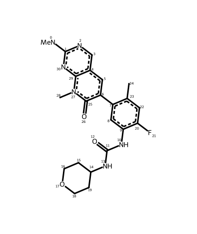 CNc1ncc2cc(-c3cc(NC(=O)NC4CCOCC4)c(F)cc3C)c(=O)n(C)c2n1